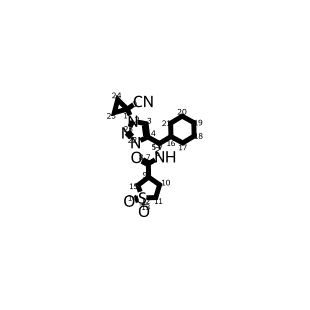 N#CC1(n2cc([C@@H](NC(=O)C3CCS(=O)(=O)C3)C3CCCCC3)nn2)CC1